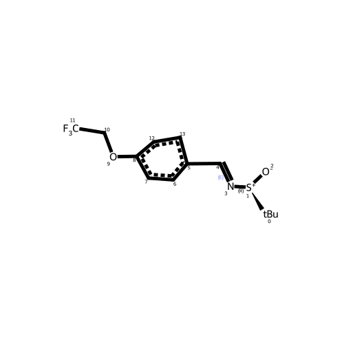 CC(C)(C)[S@+]([O-])/N=C/c1ccc(OCC(F)(F)F)cc1